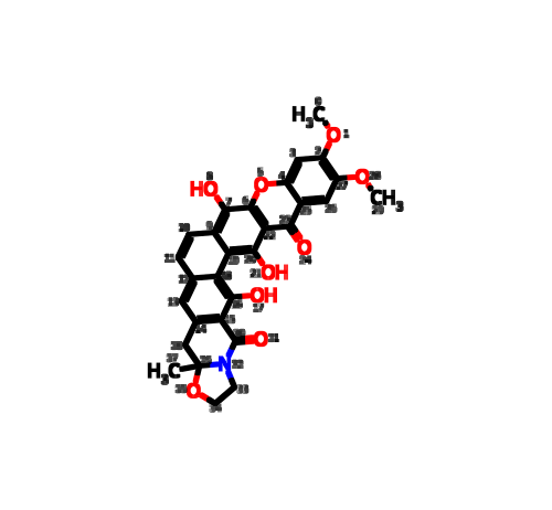 COc1cc2oc3c(O)c4ccc5cc6c(c(O)c5c4c(O)c3c(=O)c2cc1OC)C(=O)N1CCOC1(C)C6